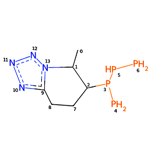 CC1C(P(P)PP)CCc2nnnn21